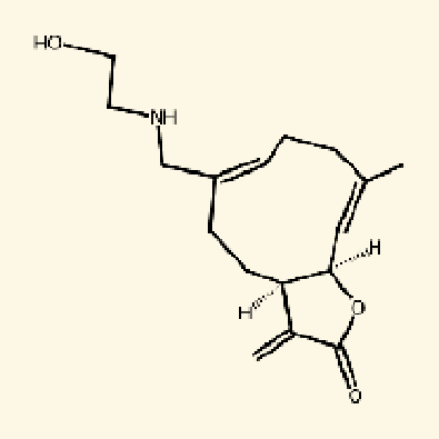 C=C1C(=O)O[C@@H]2/C=C(\C)CC/C=C(\CNCCO)CC[C@H]12